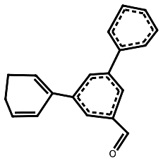 O=Cc1cc(C2=CCCC=C2)cc(-c2ccccc2)c1